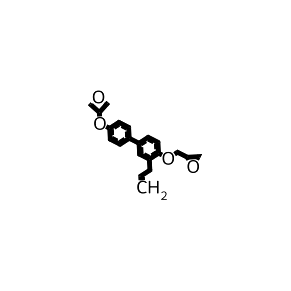 C=CCc1cc(-c2ccc(OC3COC3)cc2)ccc1OCC1CO1